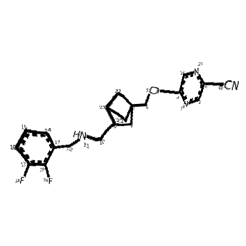 N#Cc1cnc(OCC23CC(CNCc4cccc(F)c4F)C(C2)C3)cn1